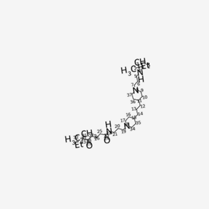 CCC(C)(C)NCCCN1CCC(CCCC2CCN(CCCNC(=O)CCCC(=O)C(C)(C)CC)CC2)CC1